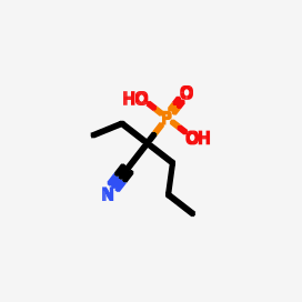 CCCC(C#N)(CC)P(=O)(O)O